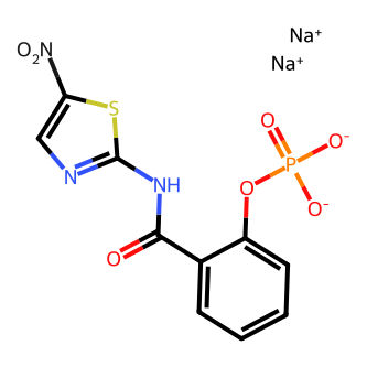 O=C(Nc1ncc([N+](=O)[O-])s1)c1ccccc1OP(=O)([O-])[O-].[Na+].[Na+]